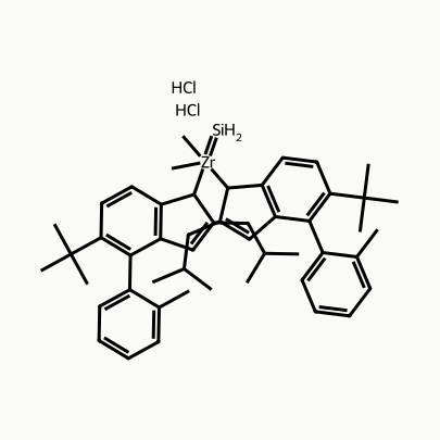 Cc1ccccc1-c1c(C(C)(C)C)ccc2c1C=C(CC(C)C)[CH]2[Zr]([CH3])([CH3])(=[SiH2])[CH]1C(CC(C)C)=Cc2c1ccc(C(C)(C)C)c2-c1ccccc1C.Cl.Cl